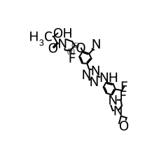 CC(O)C(=O)N1CC[C@H](Oc2ccc(-c3ncnc(Nc4ccc(N5CCN(C6COC6)CC5)c(C(F)F)c4)n3)cc2C#N)[C@H](F)C1